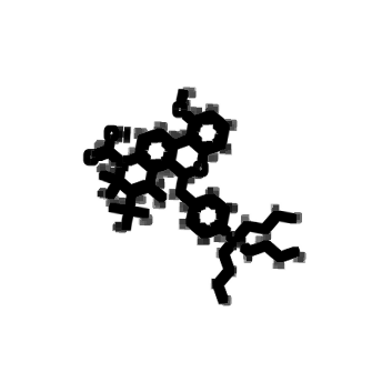 CCC[CH2][Sn]([CH2]CCC)([CH2]CCC)[c]1ccc(CC2Oc3cccc(OC)c3-c3ccc4c(c32)C(C)=C(C(C)(C)C)C(C)(C)N4C(=O)O)cc1